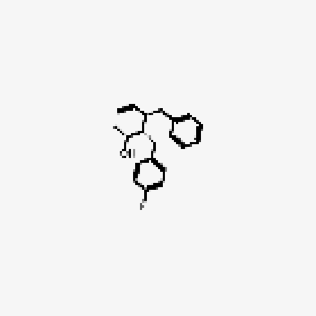 C=C[C@@H](Cc1ccccc1)[C@H](Cc1ccc(F)cc1)[C@H](C)O